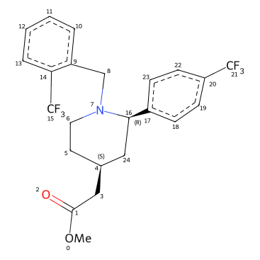 COC(=O)C[C@H]1CCN(Cc2ccccc2C(F)(F)F)[C@@H](c2ccc(C(F)(F)F)cc2)C1